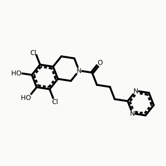 O=C(CCCc1ncccn1)N1CCc2c(Cl)c(O)c(O)c(Cl)c2C1